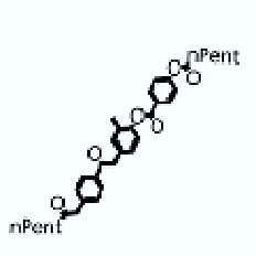 CCCCCC(=O)Cc1ccc(C(=O)Cc2ccc(OC(=O)c3ccc(OC(=O)CCCCC)cc3)c(C)c2)cc1